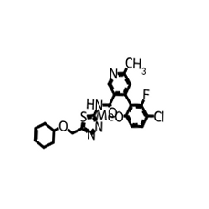 COc1ccc(Cl)c(F)c1-c1cc(C)ncc1C(=O)Nc1nnc(COC2CC=CCC2)s1